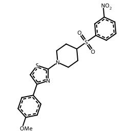 COc1ccc(-c2csc(N3CCC(S(=O)(=O)c4cccc([N+](=O)[O-])c4)CC3)n2)cc1